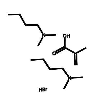 Br.C=C(C)C(=O)O.CCCCN(C)C.CCCCN(C)C